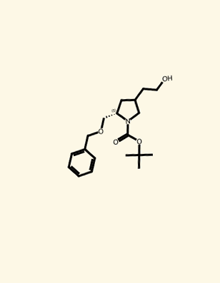 CC(C)(C)OC(=O)N1CC(CCO)C[C@H]1COCc1ccccc1